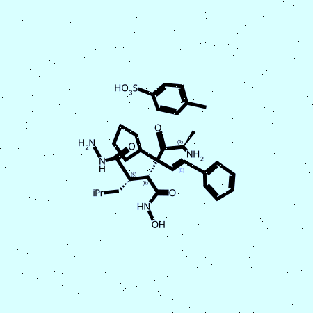 CC(C)C[C@H](C(=O)NN)[C@@H](C(=O)NO)C(/C=C/c1ccccc1)(C(=O)[C@@H](C)N)C1CCCC1.Cc1ccc(S(=O)(=O)O)cc1